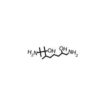 CC(CCCC(O)CN)C(C)(O)C(C)(C)N